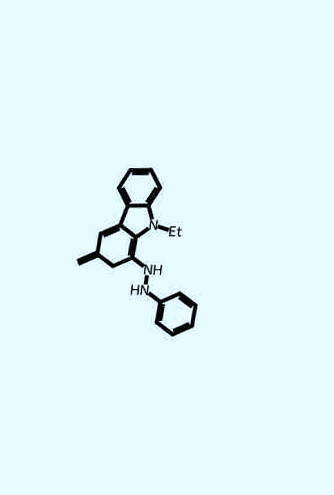 C=C1C=c2c(n(CC)c3ccccc23)=C(NNc2ccccc2)C1